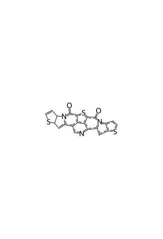 O=c1c2sc3c(=O)n4c5ccsc5cc4c4ncc(c5n1C1C=CSC1C=5)c2c34